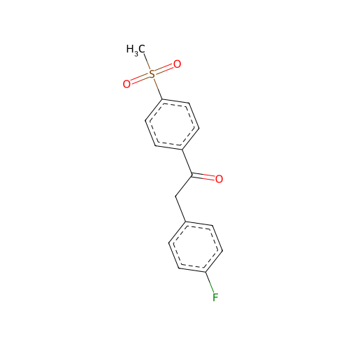 CS(=O)(=O)c1ccc(C(=O)Cc2ccc(F)cc2)cc1